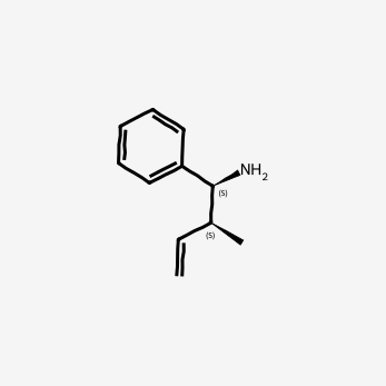 C=C[C@H](C)[C@H](N)c1ccccc1